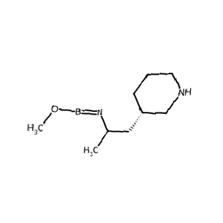 CO/B=N/C(C)C[C@@H]1CCCNC1